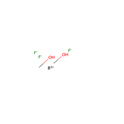 CO.CO.[B+3].[F-].[F-].[F-]